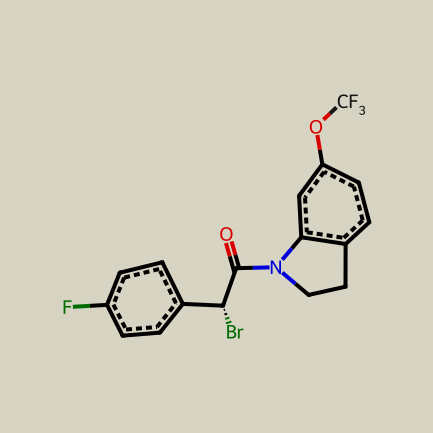 O=C([C@H](Br)c1ccc(F)cc1)N1CCc2ccc(OC(F)(F)F)cc21